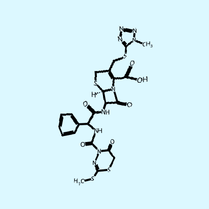 CSC1=NN(C(=O)NC(C(=O)NC2C(=O)N3C(C(=O)O)=C(CSc4nnnn4C)CS[C@H]23)c2ccccc2)C(=O)CS1